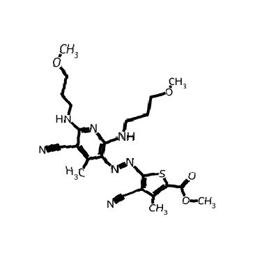 COCCCNc1nc(NCCCOC)c(N=Nc2sc(C(=O)OC)c(C)c2C#N)c(C)c1C#N